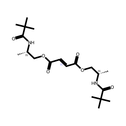 C[C@@H](COC(=O)/C=C/C(=O)OC[C@H](C)NC(=O)C(C)(C)C)NC(=O)C(C)(C)C